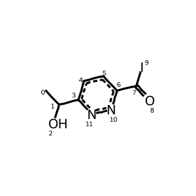 CC(O)c1ccc(C(=O)I)nn1